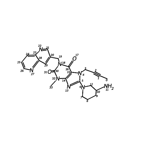 CC#CCn1c(N2CCCC(N)C2)nc2c1c(=O)n(Cc1cnc3cccnc3c1)c(=O)n2C